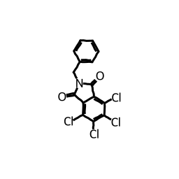 O=C1c2c(Cl)c(Cl)c(Cl)c(Cl)c2C(=O)N1Cc1ccccc1